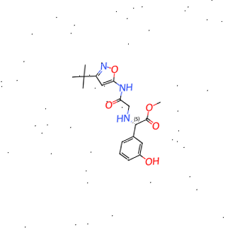 COC(=O)[C@@H](NCC(=O)Nc1cc(C(C)(C)C)no1)c1cccc(O)c1